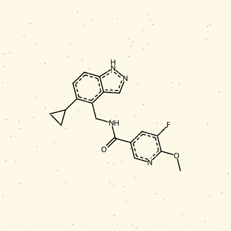 COc1ncc(C(=O)NCc2c(C3CC3)ccc3[nH]ncc23)cc1F